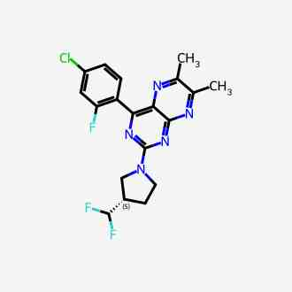 Cc1nc2nc(N3CC[C@H](C(F)F)C3)nc(-c3ccc(Cl)cc3F)c2nc1C